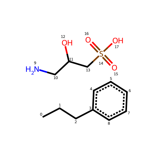 CCCc1ccccc1.NCC(O)CS(=O)(=O)O